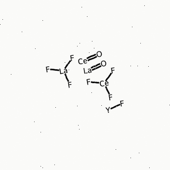 [F][Ce]([F])[F].[F][La]([F])[F].[F][Y].[O]=[Ce].[O]=[La]